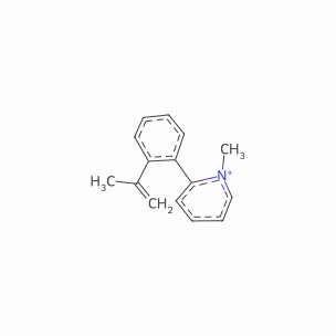 C=C(C)c1ccccc1-c1cccc[n+]1C